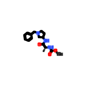 C[C@@H](NC(=O)OC(C)(C)C)C(=O)NC1CCN(Cc2ccccc2)C1